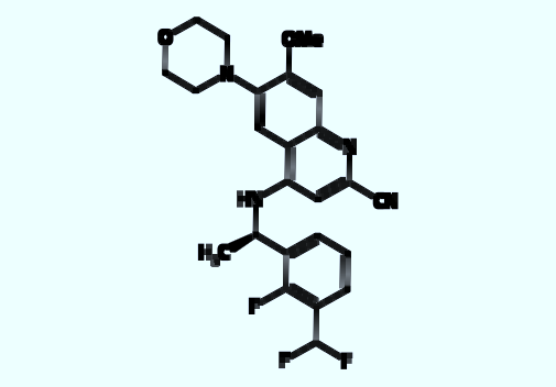 COc1cc2nc(C#N)cc(N[C@H](C)c3cccc(C(F)F)c3F)c2cc1N1CCOCC1